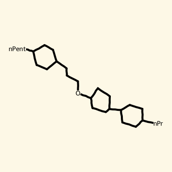 CCCCCC1CCC(CCCOC2CCC(C3CCC(CCC)CC3)CC2)CC1